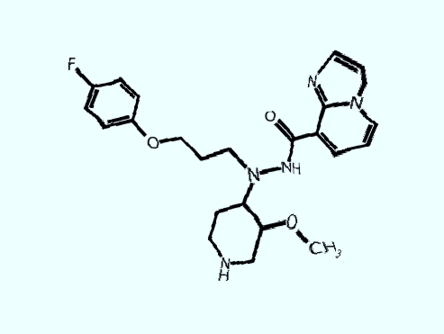 COC1CNCCC1N(CCCOc1ccc(F)cc1)NC(=O)c1cccn2ccnc12